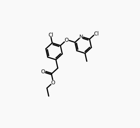 CCOC(=O)Cc1ccc(Cl)c(Oc2cc(C)cc(Cl)n2)c1